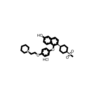 CS(=O)(=O)[C@H]1CC[C@@H](c2ccc3cc(O)ccc3c2Oc2ccc(OCCN3CCCCC3)cc2)CC1.Cl